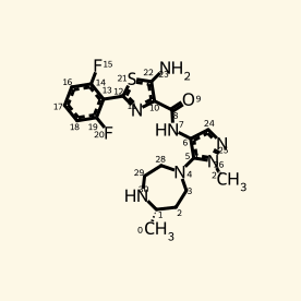 C[C@H]1CCN(c2c(NC(=O)c3nc(-c4c(F)cccc4F)sc3N)cnn2C)CCN1